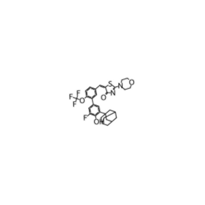 O=C1N=C(N2CCOCC2)SC1=Cc1ccc(OC(F)(F)F)c(-c2cc(F)c(O)c(C34CC5CC(CC(C5)C3)C4)c2)c1